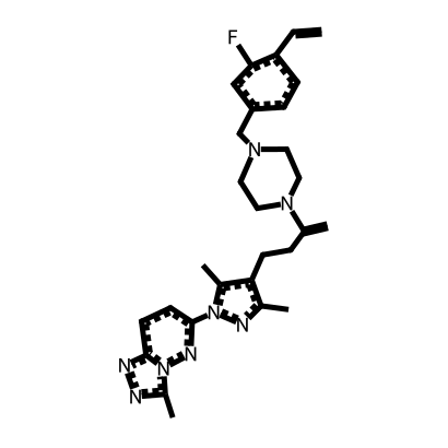 C=Cc1ccc(CN2CCN(C(=C)CCc3c(C)nn(-c4ccc5nnc(C)n5n4)c3C)CC2)cc1F